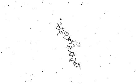 COc1ccc(-c2ncc(CN3CC[C@@H](C(=O)N4CCC(O)(Cn5cnc6c(ccn6-c6ccc(F)cc6)c5=O)CC4)[C@H](c4ccccc4)C3)s2)cn1